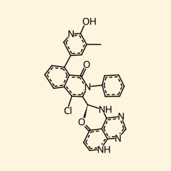 Cc1cc(-c2cccc3c(Cl)c([C@H](C)Nc4ncnc5[nH]ccc(=O)c45)n(-c4ccccc4)c(=O)c23)cnc1O